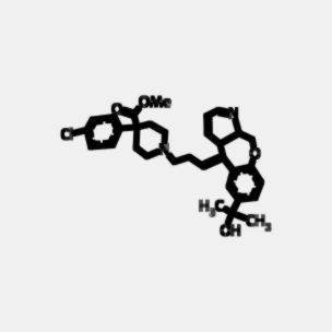 COC(=O)C1(c2ccc(Cl)cc2)CCN(CC/C=C2/c3cc(C(C)(C)O)ccc3OCC3N=CC=CC23)CC1